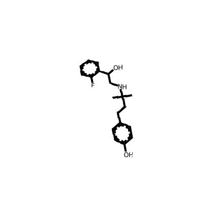 CC(C)(CCc1ccc(O)cc1)NCC(O)c1ccccc1F